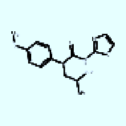 CCCC(CCC)CC(C(=O)Nc1nccs1)c1ccc(SC(F)(F)F)cc1